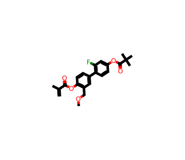 C=C(C)C(=O)Oc1ccc(-c2ccc(OC(=O)C(C)(C)C)cc2F)cc1COC